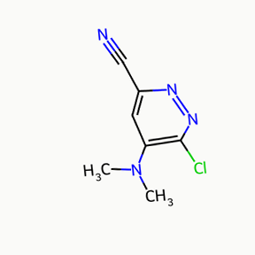 CN(C)c1cc(C#N)nnc1Cl